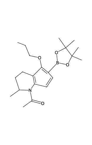 CCCOc1c(B2OC(C)(C)C(C)(C)O2)ccc2c1CCC(C)N2C(C)=O